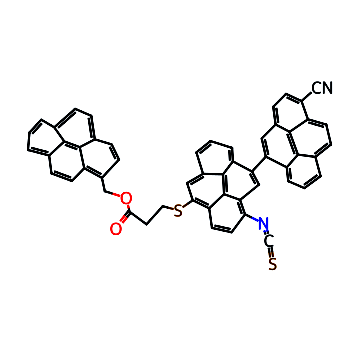 N#Cc1ccc2cc(-c3cc4c(N=C=S)ccc5c(SCCC(=O)OCc6ccc7ccc8cccc9ccc6c7c89)cc6cccc3c6c45)c3cccc4ccc1c2c43